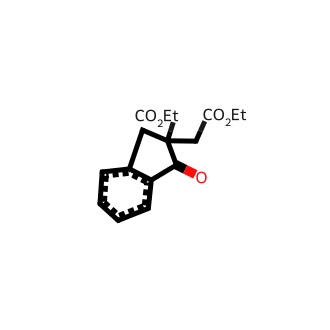 CCOC(=O)CC1(C(=O)OCC)Cc2ccccc2C1=O